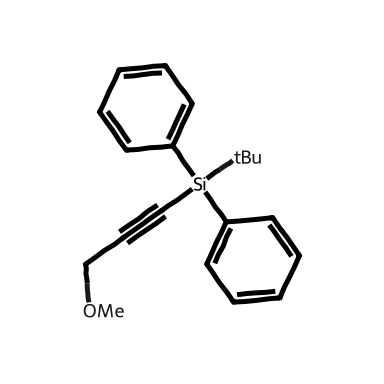 COCC#C[Si](c1ccccc1)(c1ccccc1)C(C)(C)C